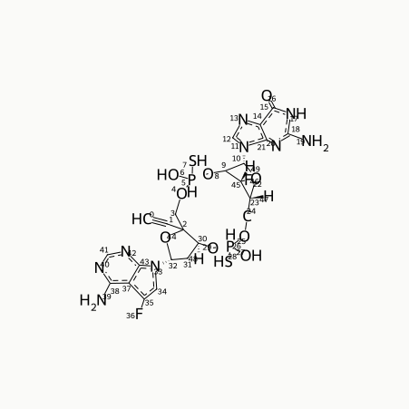 C#CC12CO[PH](O)(S)OC3[C@H](n4cnc5c(=O)[nH]c(N)nc54)O[C@H](CO[PH](O)(S)O[C@H]1C[C@H](n1cc(F)c4c(N)ncnc41)O2)[C@H]3F